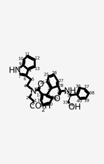 O=C(O)CCN(CCc1c[nH]c2ccccc12)C(=O)c1ccccc1-c1ccccc1C(=O)N[C@H](CO)c1ccccc1